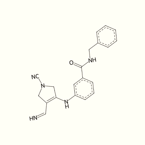 N#CN1CC(C=N)=C(Nc2cccc(C(=O)NCc3ccccc3)c2)C1